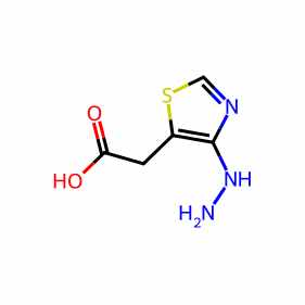 NNc1ncsc1CC(=O)O